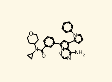 Nc1ncnn2c(-c3cccc(C(=O)N(C4CCOCC4)C4CC4)c3)cc(-c3cccn3-c3ccccc3)c12